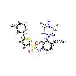 COc1ccc(NS(=O)(=O)c2ccc(-c3cccc(C)c3)s2)cc1N1C[C@@H](C)N[C@@H](C)C1